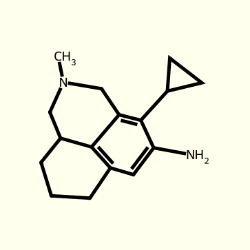 CN1Cc2c(C3CC3)c(N)cc3c2C(CCC3)C1